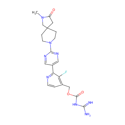 CN1CC2(CCN(c3ncc(-c4nccc(COC(=O)NC(=N)N)c4F)cn3)CC2)CC1=O